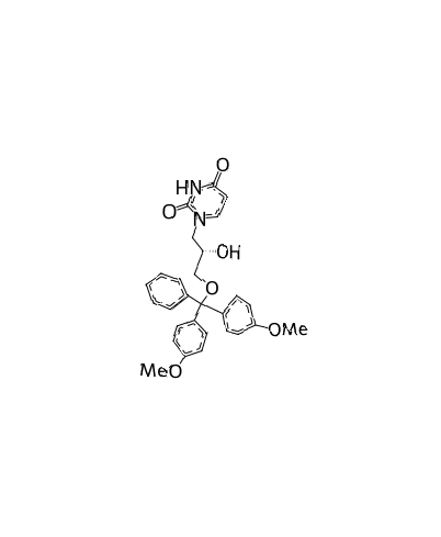 COc1ccc(C(OC[C@@H](O)Cn2ccc(=O)[nH]c2=O)(c2ccccc2)c2ccc(OC)cc2)cc1